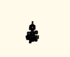 CC(=CS(=O)(=O)N[C@H]1CCN(c2ccc(I)cn2)C1=O)c1ccc(Cl)s1